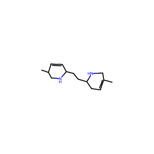 CC1=CCC(CCC2C=CC(C)CN2)NC1